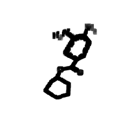 Nc1ccc(C(=O)OC2CCCCC2)cc1N